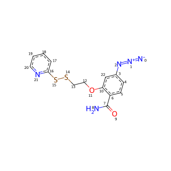 [N-]=[N+]=Nc1ccc(C(N)=O)c(OCCSSc2ccccn2)c1